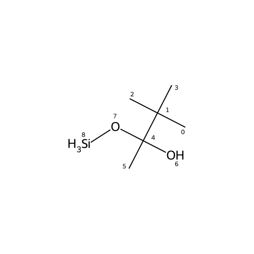 CC(C)(C)C(C)(O)O[SiH3]